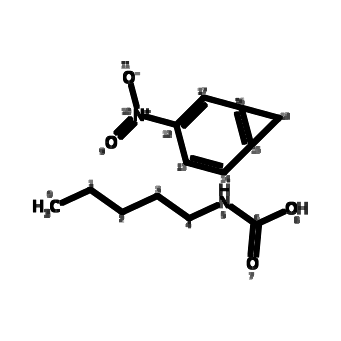 CCCCCNC(=O)O.O=[N+]([O-])c1ccc2c(c1)C2